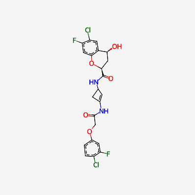 O=C(COc1ccc(Cl)c(F)c1)NC1=CC(NC(=O)[C@@H]2C[C@H](O)c3cc(Cl)c(F)cc3O2)C1